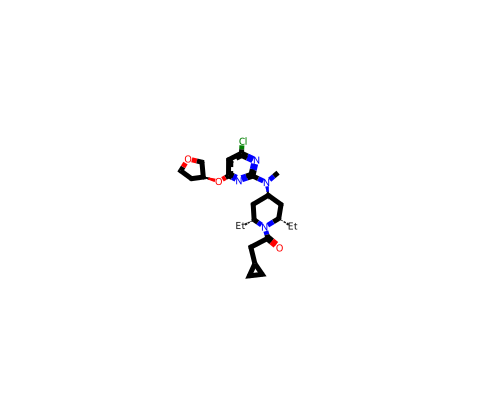 CC[C@@H]1C[C@@H](N(C)c2nc(Cl)cc(O[C@H]3CCOC3)n2)C[C@H](CC)N1C(=O)CC1CC1